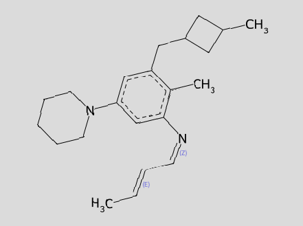 C/C=C/C=N\c1cc(N2CCCCC2)cc(CC2CC(C)C2)c1C